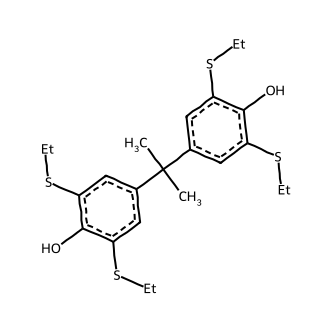 CCSc1cc(C(C)(C)c2cc(SCC)c(O)c(SCC)c2)cc(SCC)c1O